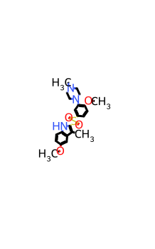 COc1ccc2[nH]c(S(=O)(=O)c3ccc(OC)c(N4CCN(C)CC4)c3)c(C)c2c1